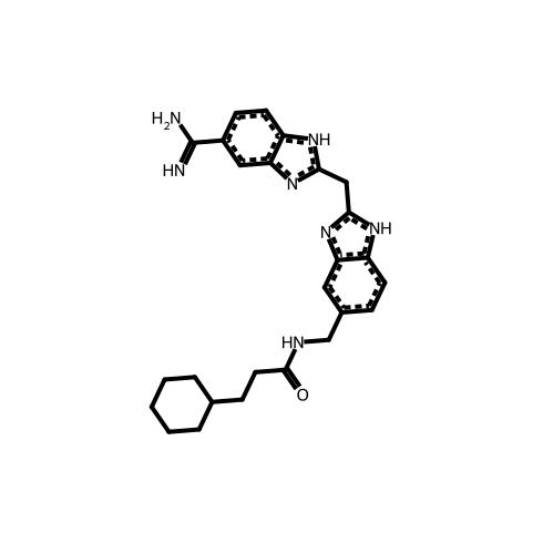 N=C(N)c1ccc2[nH]c(Cc3nc4cc(CNC(=O)CCC5CCCCC5)ccc4[nH]3)nc2c1